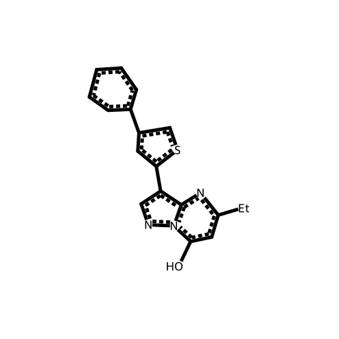 CCc1cc(O)n2ncc(-c3cc(-c4ccccc4)cs3)c2n1